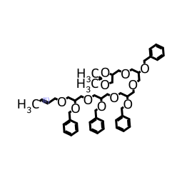 C/C=C/COCC(COCC(COCC(COCC(COCC1COC(C)(C)O1)OCc1ccccc1)OCc1ccccc1)OCc1ccccc1)OCc1ccccc1